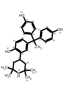 CC1(C)CC(c2cc(C(C)(c3ccc(O)cc3)c3ccc(O)cc3)ccc2O)CC(C)(C)N1